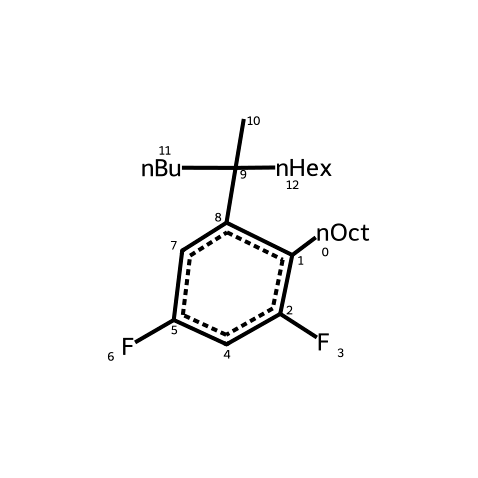 CCCCCCCCc1c(F)cc(F)cc1C(C)(CCCC)CCCCCC